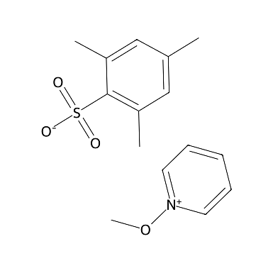 CO[n+]1ccccc1.Cc1cc(C)c(S(=O)(=O)[O-])c(C)c1